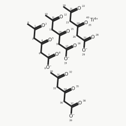 CC(=O)CC(=O)CC(=O)[O-].CC(=O)CC(=O)CC(=O)[O-].CC(=O)CC(=O)CC(=O)[O-].CC(=O)CC(=O)CC(=O)[O-].[Ti+4]